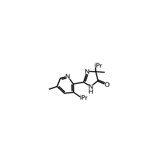 Cc1cnc(C2=NC(C)(C(C)C)C(=O)N2)c(C(C)C)c1